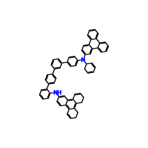 C1=CCC(N(c2ccc(-c3cccc(-c4ccc(-c5ccccc5Nc5ccc6c7c(c8c(c6c5)C=CCC8)CCC=C7)cc4)c3)cc2)c2ccc3c4ccccc4c4ccccc4c3c2)C=C1